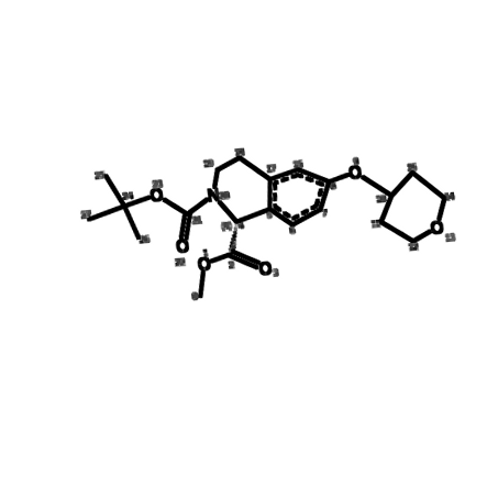 COC(=O)[C@H]1c2ccc(OC3CCOCC3)cc2CCN1C(=O)OC(C)(C)C